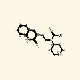 O=C(O)N(CCc1cc2ccccc2[nH]c1=O)C1CCNCC1